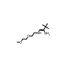 COCCOCCN/C=C(\N)C(C)(C)C